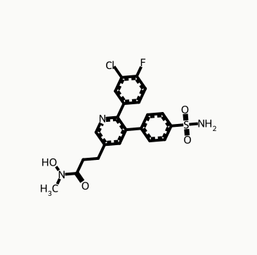 CN(O)C(=O)CCc1cnc(-c2ccc(F)c(Cl)c2)c(-c2ccc(S(N)(=O)=O)cc2)c1